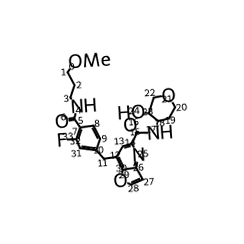 COCCCNC(=O)c1ccc(Cc2cc(C(=O)N[C@H]3CCOC[C@@H]3O)nc3ccoc23)cc1F